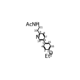 CCOc1ccc(-c2ccc(CCNC(C)=O)nc2)cc1